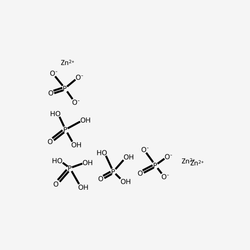 O=P(O)(O)O.O=P(O)(O)O.O=P(O)(O)O.O=P([O-])([O-])[O-].O=P([O-])([O-])[O-].[Zn+2].[Zn+2].[Zn+2]